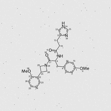 COc1ccc(CC(NC(=O)CCc2c[nH]cn2)C(=O)N2CC(c3ccccc3OC)C2)cc1